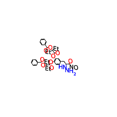 CCC(CC)(OC(=O)c1ccccc1)C(=O)Oc1ccc(C[C@H](NN)C(=O)N=O)cc1OC(=O)C(CC)(CC)OC(=O)c1ccccc1